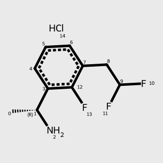 C[C@@H](N)c1cccc(CC(F)F)c1F.Cl